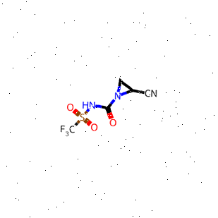 N#CC1CN1C(=O)NS(=O)(=O)C(F)(F)F